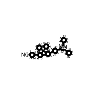 N#Cc1ccc(-c2ccc3c(c2)C(c2ccccc2)(c2ccccc2)c2cc(-c4ccc(-c5cc(-c6ccccc6)nc(-c6ccccc6)n5)cc4)ccc2-3)cc1